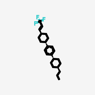 CCC[C@H]1CC[C@H](c2ccc([C@H]3CC[C@H](/C=C/C(F)(F)F)CC3)cc2)CC1